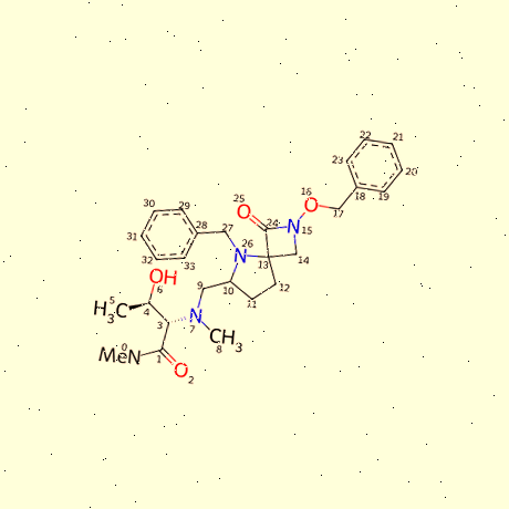 CNC(=O)[C@H]([C@@H](C)O)N(C)CC1CCC2(CN(OCc3ccccc3)C2=O)N1Cc1ccccc1